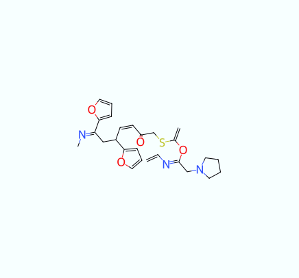 C=C/N=C(/CN1CCCC1)OC(=C)SCC(=O)/C=C\C(C/C(=N\C)c1ccco1)c1ccco1